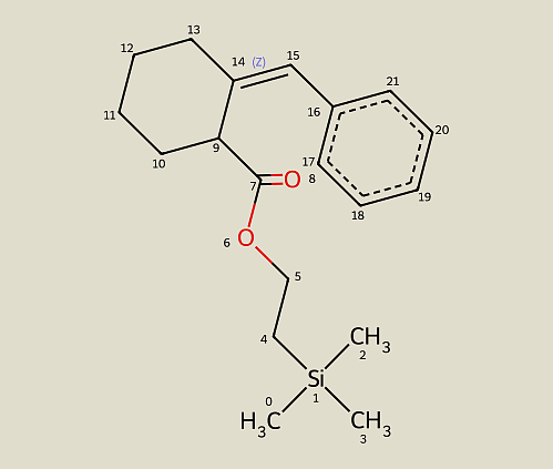 C[Si](C)(C)CCOC(=O)C1CCCC/C1=C/c1ccccc1